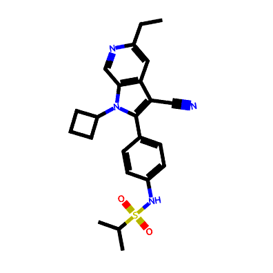 CCc1cc2c(C#N)c(-c3ccc(NS(=O)(=O)C(C)C)cc3)n(C3CCC3)c2cn1